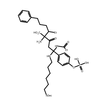 CCCCCCCCCCCCCCCCNC(CC(=O)C(N)(C(=O)O)C(CC)CCCc1ccccc1)(NC(=O)CC)c1ccc(OP(=O)(O)O)cc1